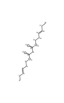 CCC=CCCOC(=O)CC(=O)OCCC=CCC